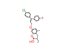 CCC(Cc1ccc(OC/C=C(/c2ccc(Cl)cc2)c2ccc(I)cc2)cc1C)C(=O)O